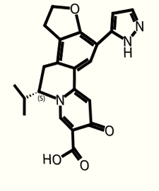 CC(C)[C@@H]1Cc2c(cc(-c3ccn[nH]3)c3c2CCO3)-c2cc(=O)c(C(=O)O)cn21